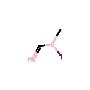 B=CB(C)I